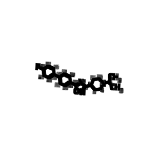 CC(C)N1CCC(c2noc(-c3ccc(-c4ccc(F)cc4)cc3)n2)CC1